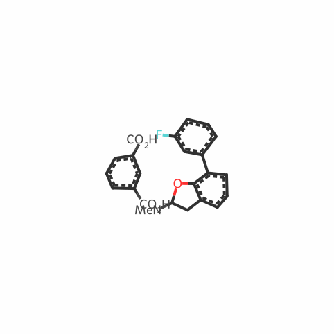 CNC1Cc2cccc(-c3cccc(F)c3)c2O1.O=C(O)c1cccc(C(=O)O)c1